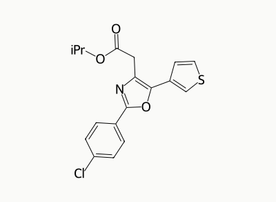 CC(C)OC(=O)Cc1nc(-c2ccc(Cl)cc2)oc1-c1ccsc1